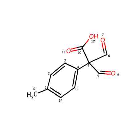 Cc1ccc(C(C=O)(C=O)C(=O)O)cc1